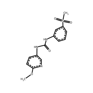 COc1ccc(NC(=O)Nc2cccc(S(C)(=O)=O)c2)cn1